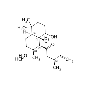 C=C[C@@H](C)CC(=O)[C@H]1[C@@H](C)CC[C@H]2C(C)(C)CCC(O)[C@]12C.Cl.O